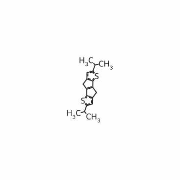 CC(C)c1cc2c(s1)C1=C(C2)c2sc(C(C)C)cc2C1